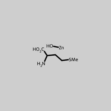 CSCCC(N)C(=O)O.[OH][Zn]